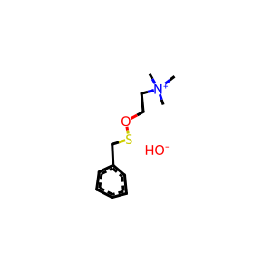 C[N+](C)(C)CCOSCc1ccccc1.[OH-]